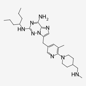 CCCC(CCC)Nc1nc(N)c2ncc(Cc3cnc(N4CCC(CNC)CC4)c(C)c3)n2n1